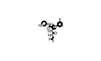 O=C(NCC(F)F)Nc1cn(-c2cccc(F)c2)cc1C(=O)N[C@H]1CCCNC1